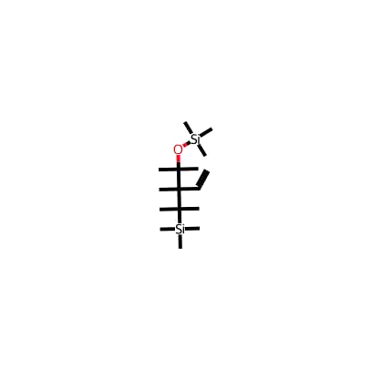 C=CC(C)(C(C)(C)O[Si](C)(C)C)C(C)(C)[Si](C)(C)C